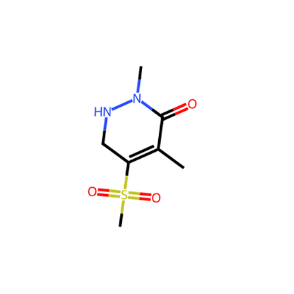 CC1=C(S(C)(=O)=O)CNN(C)C1=O